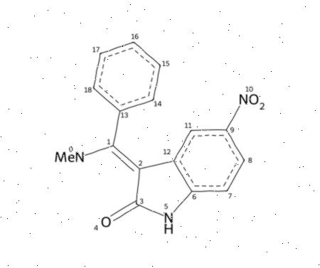 CNC(=C1C(=O)Nc2ccc([N+](=O)[O-])cc21)c1ccccc1